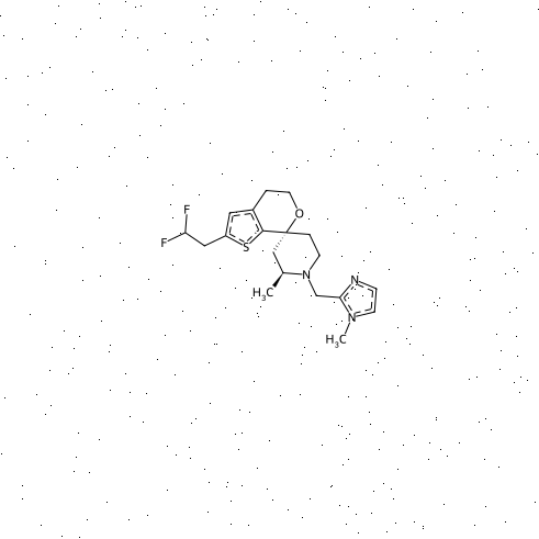 C[C@H]1C[C@@]2(CCN1Cc1nccn1C)OCCc1cc(CC(F)F)sc12